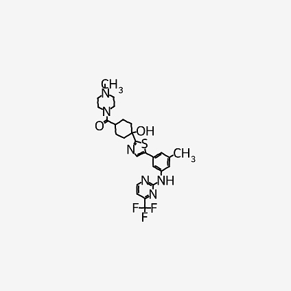 Cc1cc(Nc2nccc(C(F)(F)F)n2)cc(-c2cnc(C3(O)CCC(C(=O)N4CCN(C)CC4)CC3)s2)c1